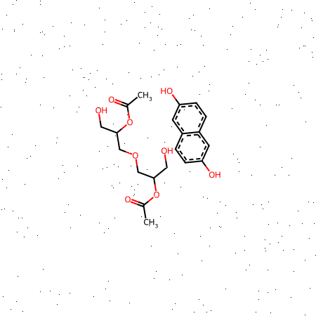 CC(=O)OC(CO)COCC(CO)OC(C)=O.Oc1ccc2cc(O)ccc2c1